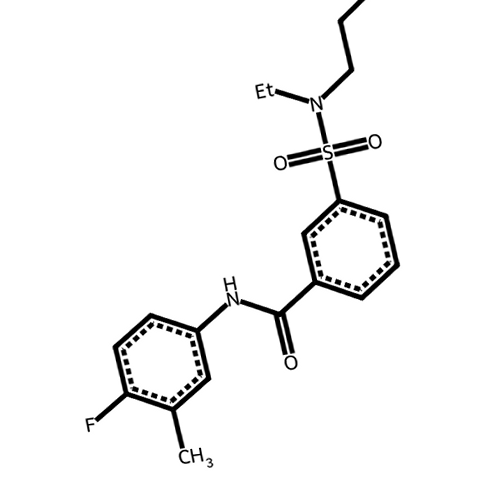 CCN(CCO)S(=O)(=O)c1cccc(C(=O)Nc2ccc(F)c(C)c2)c1